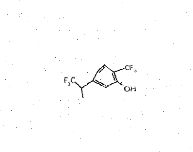 CC(c1ccc(C(F)(F)F)c(O)c1)C(F)(F)F